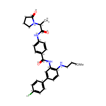 COCCNc1ccc(-c2ccc(F)cc2)cc1NC(=O)c1ccc(NC(=O)C(C)N2CCCC2=O)cc1